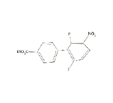 CCOC(=O)c1ccc(-c2c(F)ccc([N+](=O)[O-])c2F)cc1